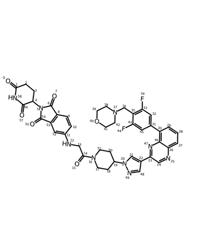 O=C1CCC(N2C(=O)c3ccc(NCC(=O)N4CCC(n5cc(-c6cnc7cccc(-c8cc(F)c(CN9CCOCC9)c(F)c8)c7n6)cn5)CC4)cc3C2=O)C(=O)N1